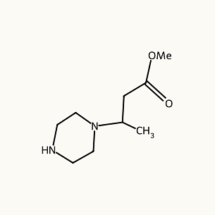 COC(=O)CC(C)N1CCNCC1